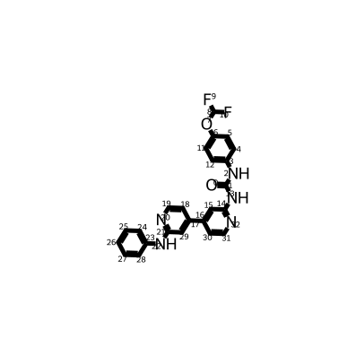 O=C(Nc1ccc(OC(F)F)cc1)Nc1cc(-c2ccnc(Nc3ccccc3)c2)ccn1